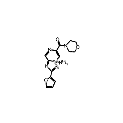 N[N+]12C=C(C(=O)N3CCOCC3)N=CC1=NC(c1ccco1)=N2